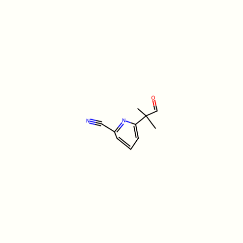 CC(C)(C=O)c1cccc(C#N)n1